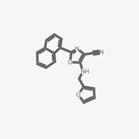 N#Cc1nc(-c2cccc3ccccc23)oc1NCc1ccco1